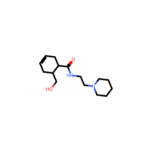 O=C(NCCN1CCCCC1)C1CC=CCC1CO